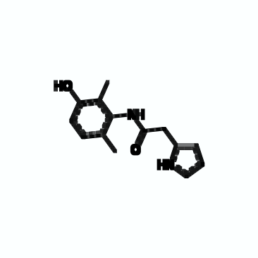 Cc1ccc(O)c(C)c1NC(=O)Cc1ccc[nH]1